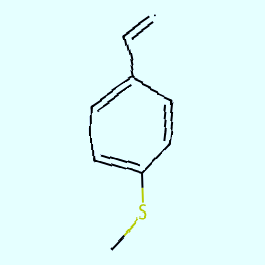 [CH]=Cc1ccc(SC)cc1